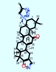 Cc1cn(C[C@]23CCC(C)(C)C[C@H]2[C@H]2C(=O)C=C4[C@@]5(C)Cc6cnoc6C(C)(C)[C@@H]5CC[C@@]4(C)[C@]2(C)CC3)nn1